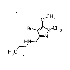 CCCNCc1nn(C)c(OC)c1Br